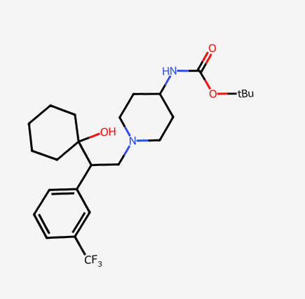 CC(C)(C)OC(=O)NC1CCN(CC(c2cccc(C(F)(F)F)c2)C2(O)CCCCC2)CC1